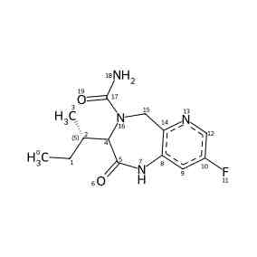 CC[C@H](C)C1C(=O)Nc2cc(F)cnc2CN1C(N)=O